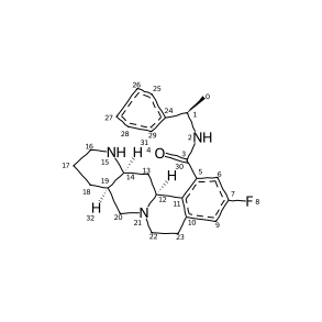 C[C@@H](NC(=O)c1cc(F)cc2c1[C@@H]1C[C@@H]3NCCC[C@@H]3CN1CC2)c1ccccc1